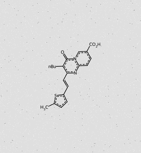 CCCCc1c(/C=C/c2ccc(C)s2)nc2ccc(C(=O)O)cn2c1=O